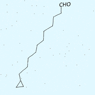 O=CCCCCCCCCCCC1CC1